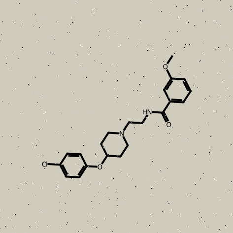 COc1cccc(C(=O)NCCN2CCC(Oc3ccc(Cl)cc3)CC2)c1